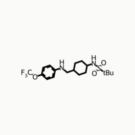 CC(C)(C)S(=O)(=O)NC1CCC(CNc2ccc(OC(F)(F)F)cc2)CC1